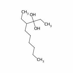 CCCCCCC(CC)C(O)(O)CC